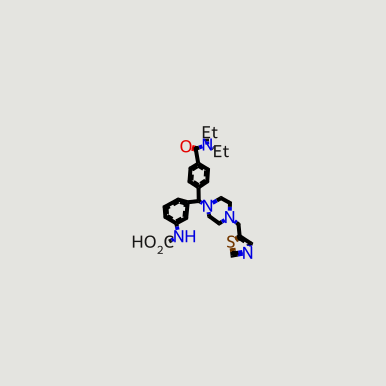 CCN(CC)C(=O)c1ccc(C(c2cccc(NC(=O)O)c2)N2CCN(Cc3cncs3)CC2)cc1